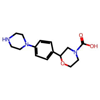 O=C(O)N1CCOC(c2ccc(N3CCNCC3)cc2)C1